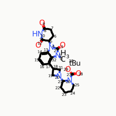 Cn1c(=O)n(C2CCC(=O)NC2=O)c2cccc(C3CN(C4CCCCN4C(=O)OC(C)(C)C)C3)c21